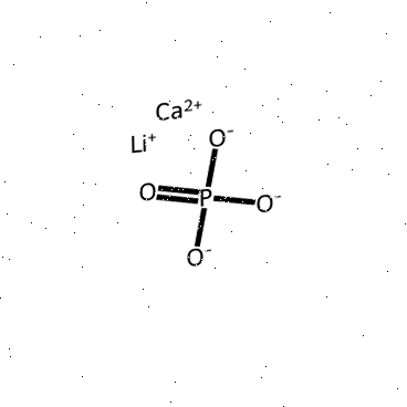 O=P([O-])([O-])[O-].[Ca+2].[Li+]